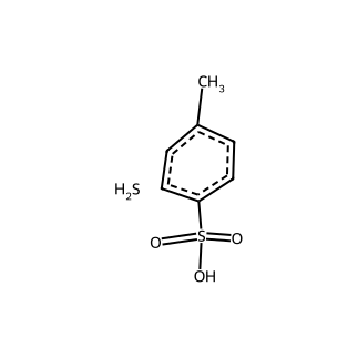 Cc1ccc(S(=O)(=O)O)cc1.S